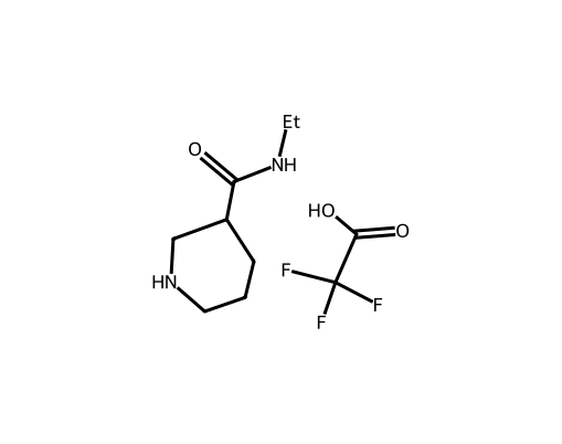 CCNC(=O)C1CCCNC1.O=C(O)C(F)(F)F